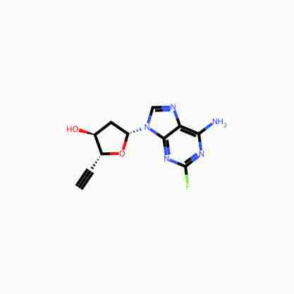 C#C[C@H]1O[C@@H](n2cnc3c(N)nc(F)nc32)C[C@@H]1O